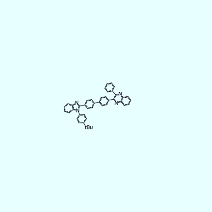 CC(C)(C)c1ccc(-n2c(-c3ccc(-c4ccc(-c5nc6ccccc6nc5-c5ccccc5)cc4)cc3)nc3ccccc32)cc1